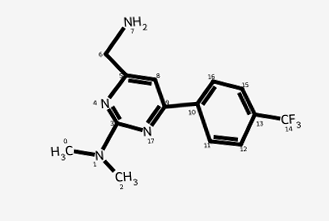 CN(C)c1nc(CN)cc(-c2ccc(C(F)(F)F)cc2)n1